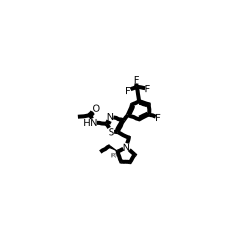 CC[C@@H]1CCCN1Cc1sc(NC(C)=O)nc1-c1cc(F)cc(C(F)(F)F)c1